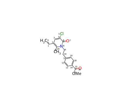 C=Cc1cc(Cl)c(=O)n(CCc2ccc(C(=O)OC)cc2)c1C